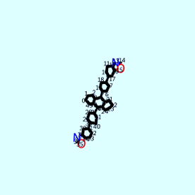 c1ccc2c(-c3ccc(-c4ccc5ncoc5c4)cc3)c3ccccc3c(-c3ccc(-c4ccc5ocnc5c4)cc3)c2c1